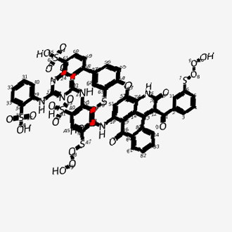 O=C(c1cccc(SOOO)c1)c1c2c3c(c(Nc4cc(Nc5nc(Cl)nc(Nc6ccccc6S(=O)(=O)O)n5)c(S(=O)(=O)O)cc4SOOO)cc(Oc4ccc(-c5ccc(S(=O)(=O)O)cc5)cc4SOOO)c3[nH]c1=O)C(=O)c1ccccc1-2